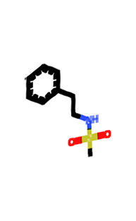 CS(=O)(=O)NCCc1cc[c]cc1